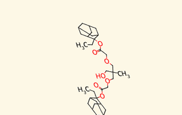 CCC1(OC(=O)COCC(C)(CO)COCC(=O)OC2(CC)C3CC4CC(C3)CC2C4)C2CC3CC(C2)CC1C3